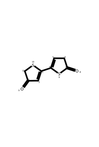 O=C1C=C(C2=CCC(=O)S2)SC1